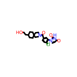 O=C(c1ccc(Cl)c(-n2ccc(=O)[nH]c2=O)c1)N1CCC2(CCC(CCO)CC2)CC1